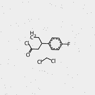 CCC(CC(=O)Cl)c1ccc(F)cc1.ClCCl